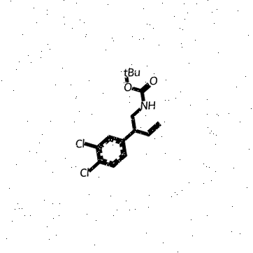 C=CC(CNC(=O)OC(C)(C)C)c1ccc(Cl)c(Cl)c1